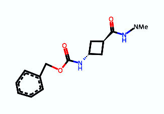 CNNC(=O)[C@H]1C[C@H](NC(=O)OCc2ccccc2)C1